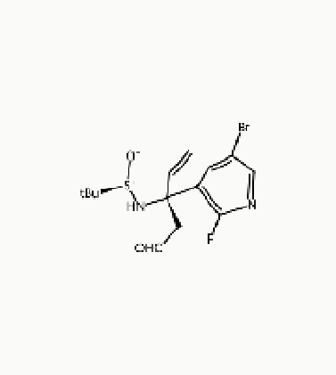 C=C[C@@](CC=O)(N[S@+]([O-])C(C)(C)C)c1cc(Br)cnc1F